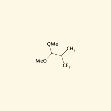 COC(OC)C(C)C(F)(F)F